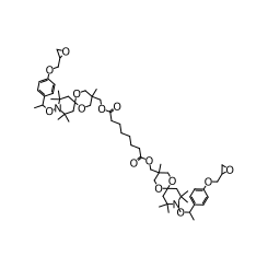 CC(ON1C(C)(C)CC2(CC1(C)C)OCC(C)(COC(=O)CCCCCCC(=O)OCC1(C)COC3(CC(C)(C)N(OC(C)c4ccc(OCC5CO5)cc4)C(C)(C)C3)OC1)CO2)c1ccc(OCC2CO2)cc1